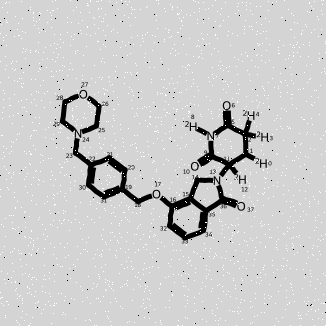 [2H]C1C([2H])([2H])C(=O)N([2H])C(=O)C1([2H])N1Cc2c(OCc3ccc(CN4CCOCC4)cc3)cccc2C1=O